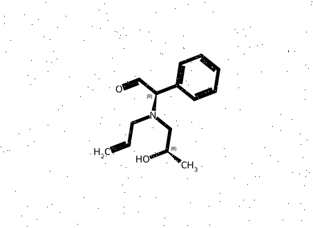 C=CCN(C[C@@H](C)O)[C@@H](C=O)c1ccccc1